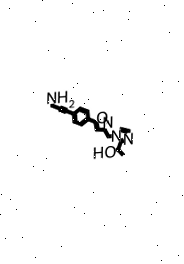 CC(O)c1nccn1Cc1cc(-c2ccc(C#CCN)cc2)on1